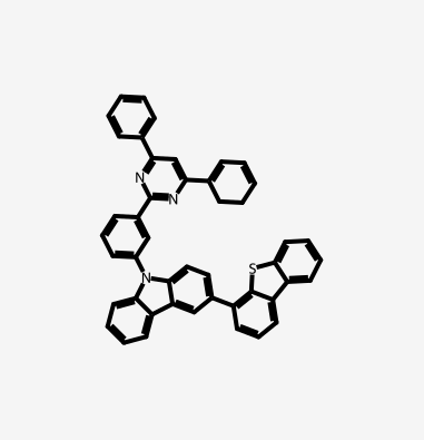 C1=CCCC(c2cc(-c3ccccc3)nc(-c3cccc(-n4c5ccccc5c5cc(-c6cccc7c6sc6ccccc67)ccc54)c3)n2)=C1